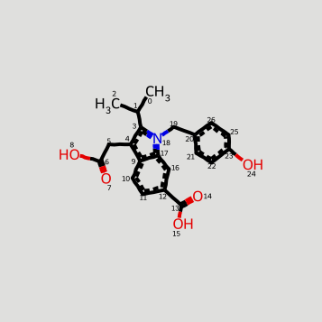 CC(C)c1c(CC(=O)O)c2ccc(C(=O)O)cc2n1Cc1ccc(O)cc1